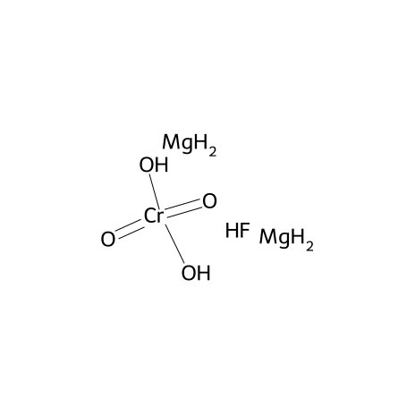 F.[MgH2].[MgH2].[O]=[Cr](=[O])([OH])[OH]